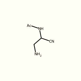 CC(=O)NC(C#N)CN